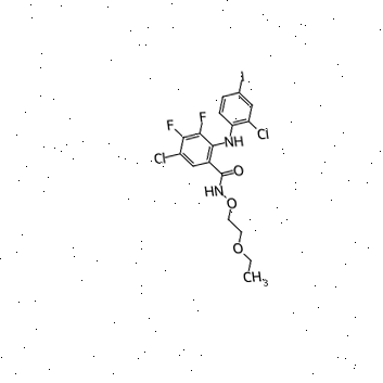 CCOCCONC(=O)c1cc(Cl)c(F)c(F)c1Nc1ccc(I)cc1Cl